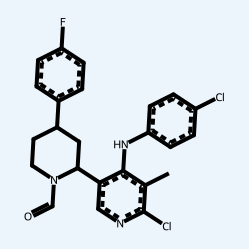 Cc1c(Cl)ncc(C2CC(c3ccc(F)cc3)CCN2C=O)c1Nc1ccc(Cl)cc1